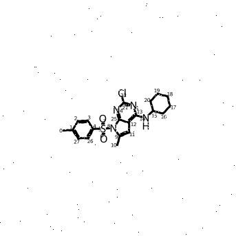 Cc1ccc(S(=O)(=O)n2c(C)cc3c(NC4CCCCC4)nc(Cl)nc32)cc1